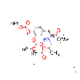 CCCOC(=O)Oc1ccc(C[C@H](NCC(C)OC(=O)C(C)C)C(=O)OC)cc1OC(=O)OCCC